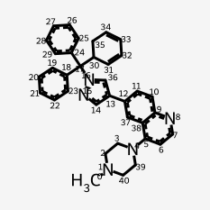 CN1CCN(c2ccnc3ccc(-c4cnn(C(c5ccccc5)(c5ccccc5)C5C=CC=CC5)c4)cc23)CC1